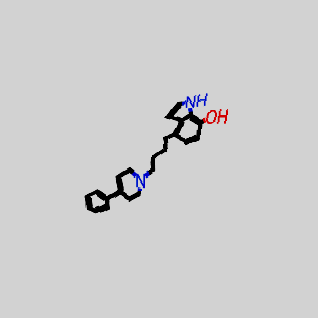 Oc1ccc(CCCCN2CC=C(c3ccccc3)CC2)c2cc[nH]c12